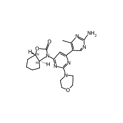 Cc1nc(N)ncc1-c1cc(N2C(=O)O[C@H]3CCCC[C@@H]32)nc(N2CCOCC2)n1